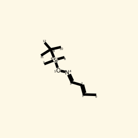 CC=CC=NO[Si](C)(C)C(C)(C)C